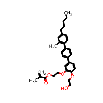 C=C(C)C(=O)OCCOc1cc(-c2ccc(-c3ccc(CCCCC)cc3C)cc2)ccc1OCCO